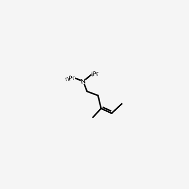 C/C=C(/C)CCN(CCC)C(C)C